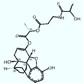 CC(O)C(=O)NCCC(=O)O[C@@H](C)C(=O)OC1=CC[C@@]2(O)[C@@H]3CCC[C@@]24c2c(ccc(O)c2O[C@@H]14)C3